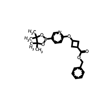 CC1(C)OB(c2ccc(OC3CC(C(=O)OCc4ccccc4)C3)nc2)OC1(C)C